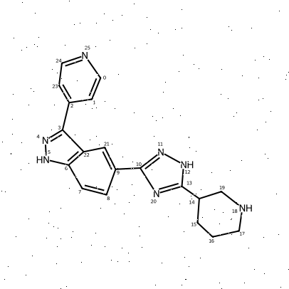 c1cc(-c2n[nH]c3ccc(-c4n[nH]c(C5CCCNC5)n4)cc23)ccn1